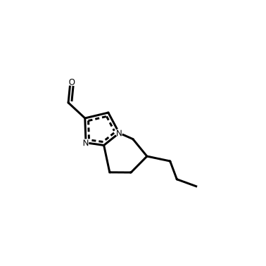 CCCC1CCc2nc(C=O)cn2C1